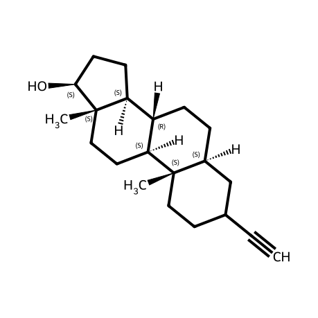 C#CC1CC[C@@]2(C)[C@@H](CC[C@@H]3[C@@H]2CC[C@]2(C)[C@@H](O)CC[C@@H]32)C1